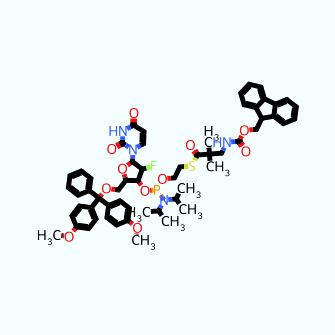 COc1ccc(C(OCC2OC(n3ccc(=O)[nH]c3=O)C(F)C2OP(OCCSC(=O)C(C)(C)CNC(=O)OCC2c3ccccc3-c3ccccc32)N(C(C)C)C(C)C)(c2ccccc2)c2ccc(OC)cc2)cc1